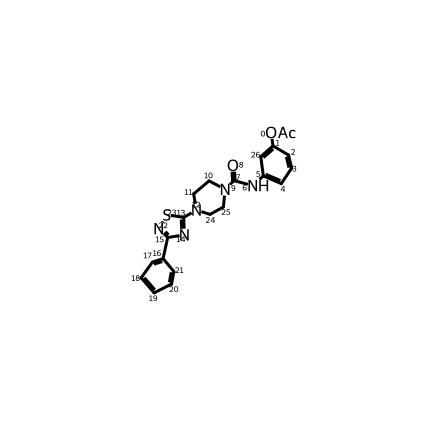 CC(=O)Oc1cccc(NC(=O)N2CCN(c3nc(-c4ccccc4)ns3)CC2)c1